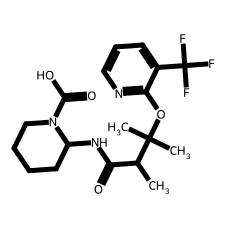 CC(C(=O)NC1CCCCN1C(=O)O)C(C)(C)Oc1ncccc1C(F)(F)F